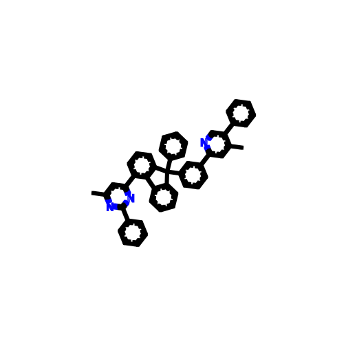 Cc1cc(-c2cccc3c2-c2ccccc2C3(c2ccccc2)c2cccc(-c3cc(C)c(-c4ccccc4)cn3)c2)nc(-c2ccccc2)n1